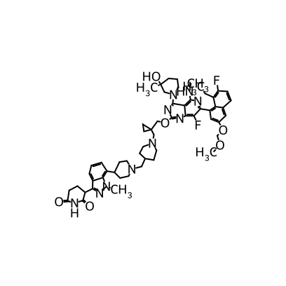 CCc1c(F)ccc2cc(OCOC)cc(-c3nc(NC)c4c(N5CCC[C@@](C)(O)C5)nc(OCC5(CN6CCC(CN7CCC(c8cccc9c(C%10CCC(=O)NC%10=O)nn(C)c89)CC7)CC6)CC5)nc4c3F)c12